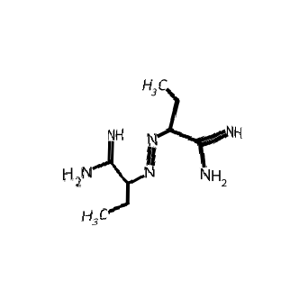 CCC(N=NC(CC)C(=N)N)C(=N)N